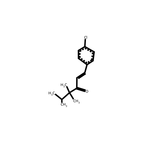 CC(C)C(C)(C)C(=O)C=Cc1ccc(Cl)cc1